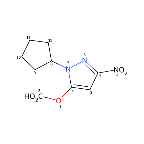 O=C(O)Oc1cc([N+](=O)[O-])nn1C1CCCC1